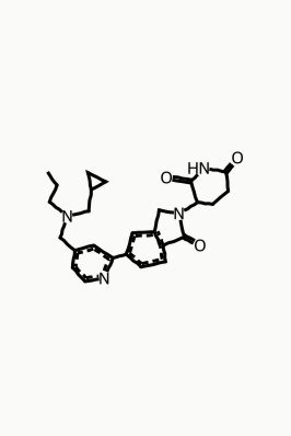 CCCN(Cc1ccnc(-c2ccc3c(c2)CN(C2CCC(=O)NC2=O)C3=O)c1)CC1CC1